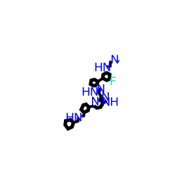 CN(C)CCNc1cc(F)cc(-c2cccc3[nH]c(-c4n[nH]c5ccc(-c6cccc(CNCc7ccccc7)c6)nc45)nc23)c1